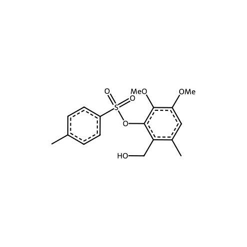 COc1cc(C)c(CO)c(OS(=O)(=O)c2ccc(C)cc2)c1OC